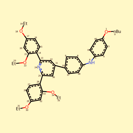 CCCCOc1ccc(Nc2ccc(-c3cc(-c4ccc(OCC)cc4OCC)nc(-c4ccc(OCC)cc4OCC)c3)cc2)cc1